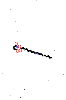 CCCCCCCC/C=C/CCCCCCCC(=O)ON1C(=O)CCC1=O